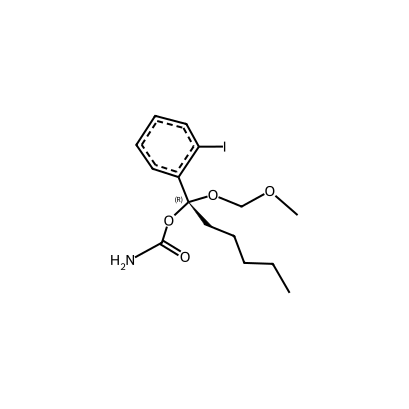 CCCCC[C@@](OCOC)(OC(N)=O)c1ccccc1I